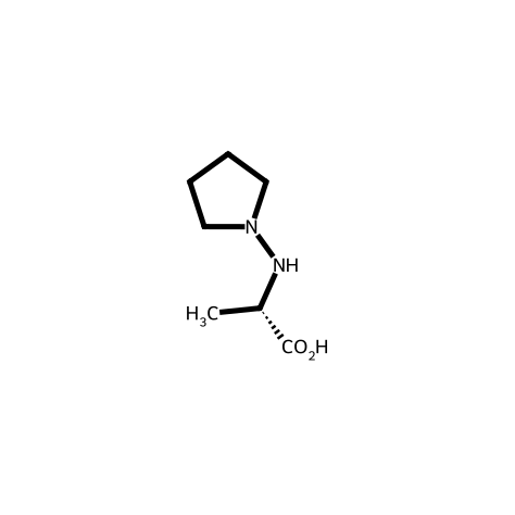 C[C@H](NN1CCCC1)C(=O)O